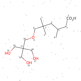 CC(CC(=O)O)CC(C)(C)COCC(CO)(CO)CO